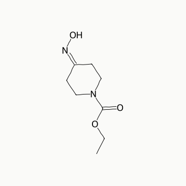 CCOC(=O)N1CCC(=NO)CC1